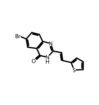 O=c1[nH]c(C=Cc2cccs2)nc2ccc(Br)cc12